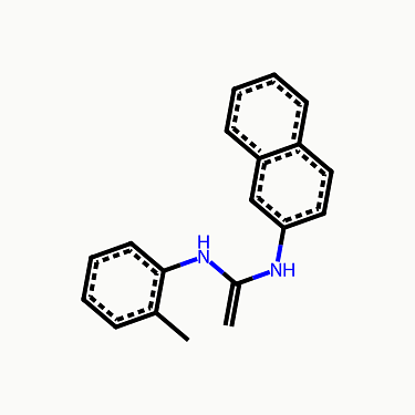 C=C(Nc1ccc2ccccc2c1)Nc1ccccc1C